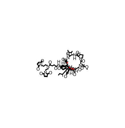 CCC(C)[C@@H]1NC(=O)[C@@H]2CCCN2C(=O)[C@H](CC(=O)OC)NC(=O)[C@@H]2CSc3[nH]c4ccc(NC(=O)CCC(=O)N(CCN5C(=O)C=CC5=O)CCN5C(=O)C=CC5=O)cc4c3C[C@H](NC1=O)C(=O)NCC(=O)N[C@@H]([C@@H](C)CC)C(=O)NCC(=O)N2